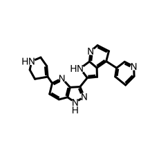 C1=C(c2ccc3[nH]nc(-c4cc5c(-c6cccnc6)ccnc5[nH]4)c3n2)CCNC1